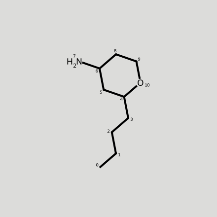 CCCCC1CC(N)CCO1